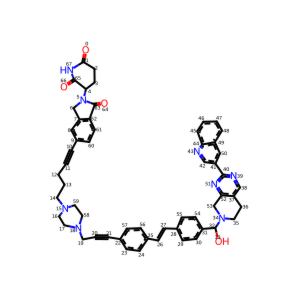 O=C1CCC(N2Cc3cc(C#CCCCN4CCN(CC#Cc5ccc(/C=C/c6ccc(C(O)N7CCc8cnc(-c9cnc%10ccccc%10c9)nc8C7)cc6)cc5)CC4)ccc3C2=O)C(=O)N1